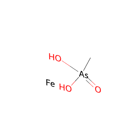 C[As](=O)(O)O.[Fe]